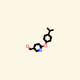 CC(C)c1ccc(Oc2ccc(C=O)cn2)cc1